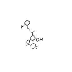 CC(CCCc1ccccc1F)c1cc(O)c2c(c1)OC(C)C1CCC(C)(C)CC21